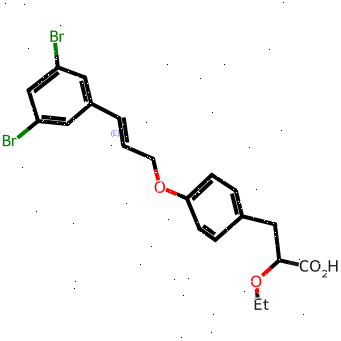 CCOC(Cc1ccc(OC/C=C/c2cc(Br)cc(Br)c2)cc1)C(=O)O